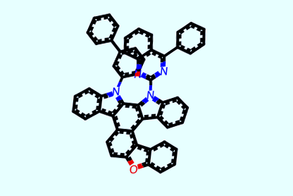 c1ccc(-c2cccc(-n3c4ccccc4c4c5ccc6oc7ccccc7c6c5c5c6ccccc6n(-c6nc(-c7ccccc7)c7ccccc7n6)c5c43)c2)cc1